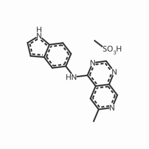 CS(=O)(=O)O.Cc1cc2c(Nc3ccc4[nH]ccc4c3)ncnc2cn1